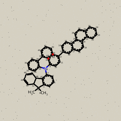 CC1(C)c2cccc(N(c3ccc(-c4ccc5c(ccc6c7ccccc7ccc56)c4)cc3)c3ccccc3-c3ccccc3)c2C2C=CC=CC21